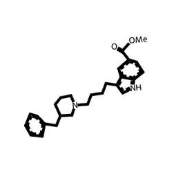 COC(=O)c1ccc2[nH]cc(CCCCN3CCCC(Cc4ccccc4)C3)c2c1